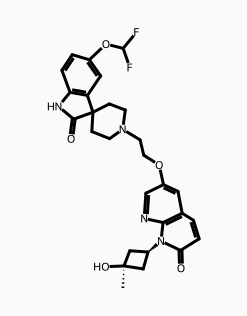 C[C@]1(O)C[C@@H](n2c(=O)ccc3cc(OCCN4CCC5(CC4)C(=O)Nc4ccc(OC(F)F)cc45)cnc32)C1